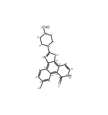 O=CN1CCN(c2nc3c4ccc(F)cc4c4c(=O)[nH]ccc4c3s2)CC1